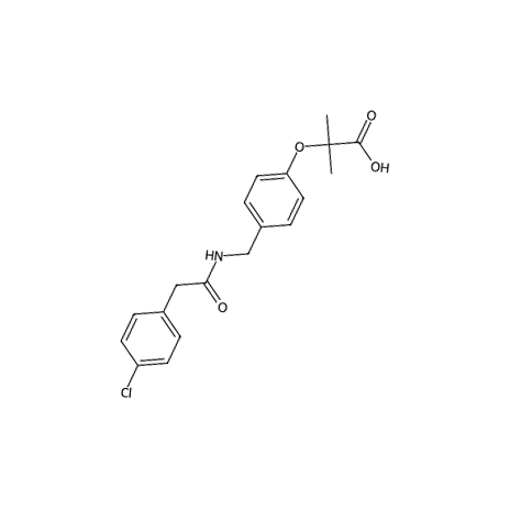 CC(C)(Oc1ccc(CNC(=O)Cc2ccc(Cl)cc2)cc1)C(=O)O